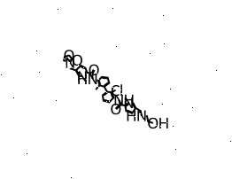 Cc1c(NC(=O)c2ccc(CN3CCOC3=O)cn2)cccc1-c1cccc(NC(=O)c2ccc(CNCCO)cn2)c1Cl